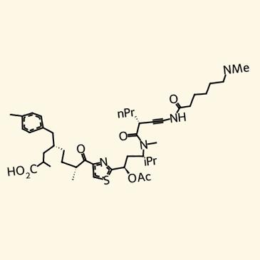 CCC[C@H](C#CNC(=O)CCCCCNC)C(=O)N(C)[C@H](C[C@@H](OC(C)=O)c1nc(C(=O)[C@H](C)CC[C@@H](Cc2ccc(C)cc2)CC(C)C(=O)O)cs1)C(C)C